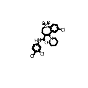 O=C(Nc1ccc(Cl)c(Cl)c1)C1=C(N2CCCCC2)c2cc(Cl)ccc2S(=O)(=O)CC1